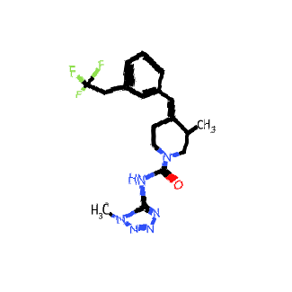 CC1CN(C(=O)Nc2nnnn2C)CCC1=Cc1cccc(CC(F)(F)F)c1